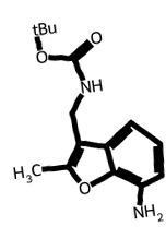 Cc1oc2c(N)cccc2c1CNC(=O)OC(C)(C)C